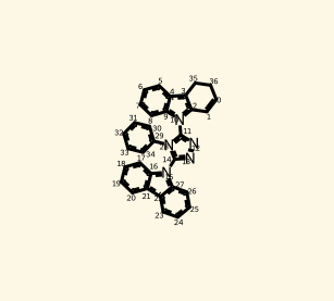 C1=Cc2c(c3ccccc3n2-c2nnc(-n3c4ccccc4c4ccccc43)n2-c2ccccc2)CC1